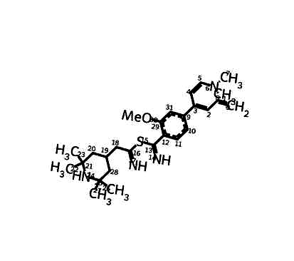 C=C/C=C(\C=C/N(C)C)c1ccc(C(=N)SC(=N)CC2CC(C)(C)NC(C)(C)C2)c(OC)c1